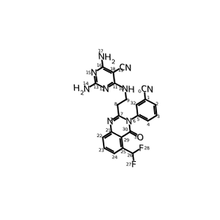 N#Cc1cccc(-n2c(CCNc3nc(N)nc(N)c3C#N)nc3cccc(C(F)F)c3c2=O)c1